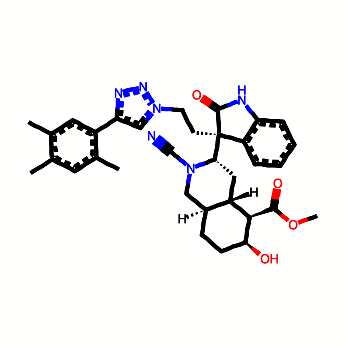 COC(=O)[C@@H]1[C@H]2C[C@@H]([C@@]3(CCn4cc(-c5cc(C)c(C)cc5C)nn4)C(=O)Nc4ccccc43)N(C#N)C[C@@H]2CC[C@@H]1O